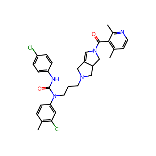 Cc1ccc(N(CCCN2CC3=CN(C(=O)c4c(C)ccnc4C)CC3C2)C(=O)Nc2ccc(Cl)cc2)cc1Cl